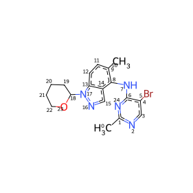 Cc1ncc(Br)c(Nc2c(C)ccc3c2cnn3C2CCCCO2)n1